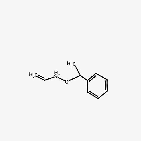 C=C[SiH2]OC(C)c1ccccc1